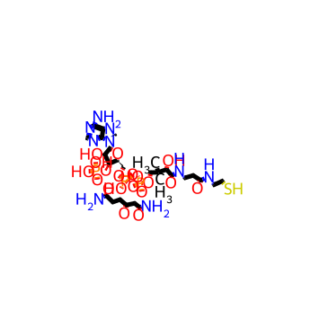 CC(C)(COP(=O)(O)OP(=O)(O)OC[C@H]1O[C@@H](n2cnc3c(N)ncnc32)[C@H](O)[C@@H]1OP(=O)(O)O)C(O)C(=O)NCCC(=O)NCCS.NC(=O)CCC(=O)CC(N)=O